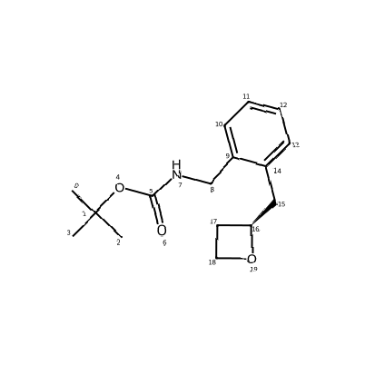 CC(C)(C)OC(=O)NCc1ccccc1C[C@@H]1CCO1